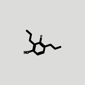 CCCc1ccc(O)c(CCC)c1F